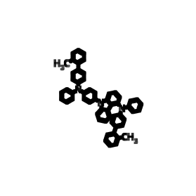 Cc1ccccc1-c1ccc(N(c2ccccc2)c2ccc(-n3c4ccccc4c4c(N(c5ccccc5)c5ccc(-c6ccccc6C)cc5)cccc43)cc2)cc1